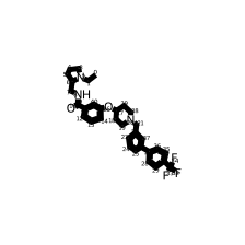 CCN1CCCC1CNC(=O)c1cccc(OC2CCN(Cc3cccc(-c4ccc(C(F)(F)F)cc4)c3)CC2)c1